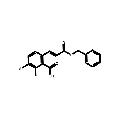 Cc1c(Br)ccc(C=CC(=O)OCc2ccccc2)c1C(=O)O